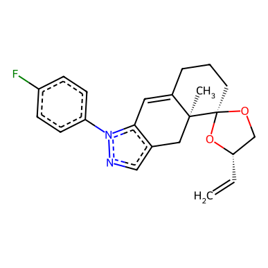 C=C[C@H]1CO[C@@]2(CCCC3=Cc4c(cnn4-c4ccc(F)cc4)C[C@@]32C)O1